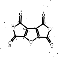 O=c1oc(=O)c2c1oc1c(=O)oc(=O)c12